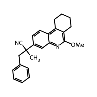 COc1nc2cc(C(C)(C#N)Cc3ccccc3)ccc2c2c1CCCC2